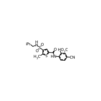 Cc1sc(C(=O)Nc2ccc(C#N)cc2C(=O)O)cc1S(=O)(=O)NCC(C)C